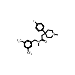 CN1CCC(CC(=O)N(C)Cc2cc(C(F)(F)F)cc(C(F)(F)F)c2)(c2ccc(F)cc2)CC1